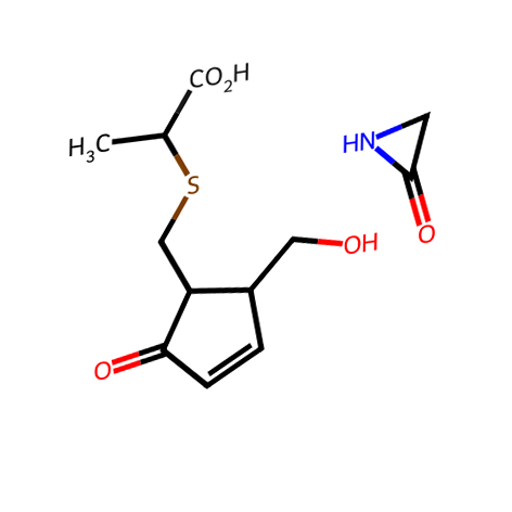 CC(SCC1C(=O)C=CC1CO)C(=O)O.O=C1CN1